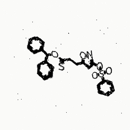 O=S(=O)(Oc1cc(CCC(=S)OC(c2ccccc2)c2ccccc2)on1)c1ccccc1